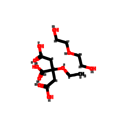 CCOC(CC(=O)O)(CC(=O)O)C(=O)O.OCCOCCO